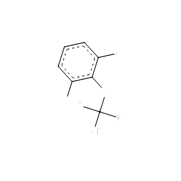 FC(F)(F)C(F)(F)Oc1c([S])cccc1Cl